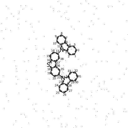 c1ccc2c(c1)c1ccccc1n2-c1ccc2sc3ccc(-n4c5ccccc5c5ccccc54)cc3c2c1